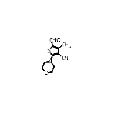 Cc1c(C=O)sc(N2CCOCC2)c1C#N